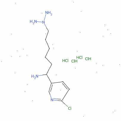 Cl.Cl.Cl.Cl.NC(CCCCCN(N)N)c1ccc(Cl)nc1